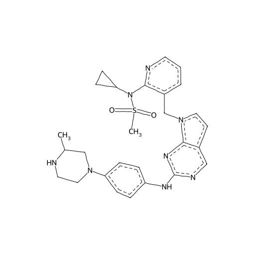 CC1CN(c2ccc(Nc3ncc4ccn(Cc5cccnc5N(C5CC5)S(C)(=O)=O)c4n3)cc2)CCN1